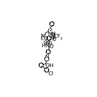 CN(CCC(CSc1ccccc1)Nc1ccc(S(=O)(=O)NC(=O)c2ccc(N3CCC([C@H](O)c4ccccc4-c4ccc(Cl)cc4)CC3)cc2)cc1S(=O)(=O)C(F)(F)F)C(=O)O